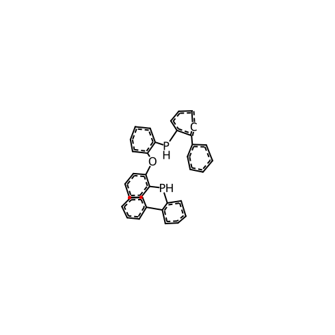 c1ccc(-c2ccccc2Pc2ccccc2Oc2ccccc2Pc2ccccc2-c2ccccc2)cc1